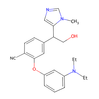 CCN(CC)c1cccc(Oc2cc(C(CO)c3cncn3C)ccc2C#N)c1